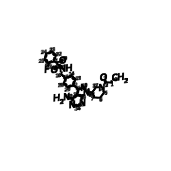 C=CC(=O)N1CCC[C@@H](n2nc(-c3ccc(CNS(=O)(=O)c4ccccc4F)cc3)c3c(N)ncnc32)C1